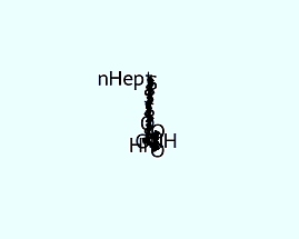 CCCCCCCSCCSCCSCCOCCC1C(=O)NC(=O)NC1=O